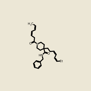 C/C=C\C=C/CC(=O)N1CCC(CC/C=C\C=C/CC)(C(=O)NCc2ccccc2)CC1